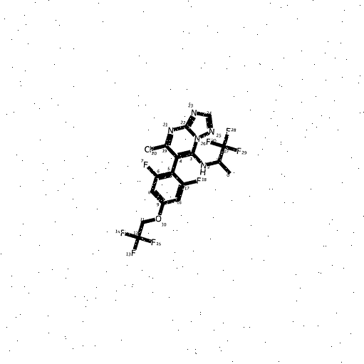 CC(Nc1c(-c2c(F)cc(OCC(F)(F)F)cc2F)c(Cl)nc2ncnn12)C(F)(F)F